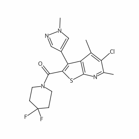 Cc1nc2sc(C(=O)N3CCC(F)(F)CC3)c(-c3cnn(C)c3)c2c(C)c1Cl